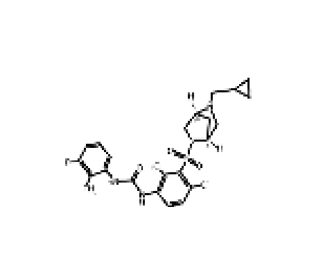 Cc1c(F)cccc1NC(=O)Nc1ccc(Cl)c(S(=O)(=O)N2C[C@@H]3C[C@H]2CN3CC2CC2)c1O